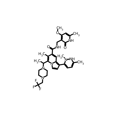 COc1cc(C)[nH]c(=O)c1CNC(=O)c1cc2c(C3=CC=C(C)NN3C)ccn2c(C(C)N2CCN(CC(F)(F)F)CC2)c1C